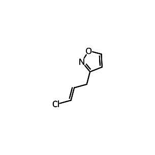 ClC=CCc1ccon1